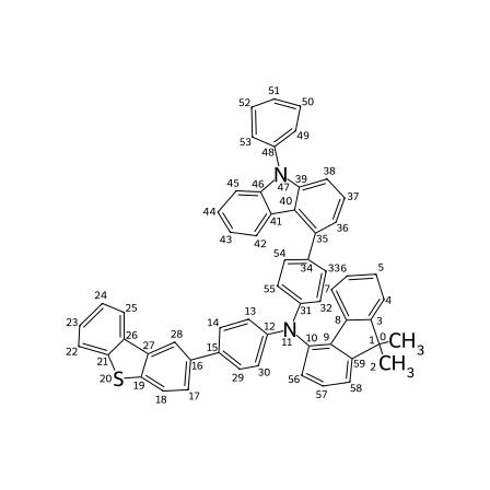 CC1(C)c2ccccc2-c2c(N(c3ccc(-c4ccc5sc6ccccc6c5c4)cc3)c3ccc(-c4cccc5c4c4ccccc4n5-c4ccccc4)cc3)cccc21